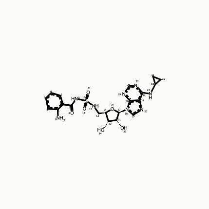 Nc1ccccc1C(=O)NS(=O)(=O)NC[C@H]1O[C@@H](n2cnc3c(NC4CC4)ncnc32)[C@H](O)[C@@H]1O